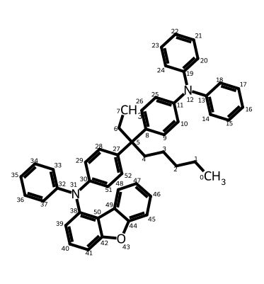 CCCCCC(CC)(c1ccc(N(c2ccccc2)c2ccccc2)cc1)c1ccc(N(c2ccccc2)c2cccc3oc4ccccc4c23)cc1